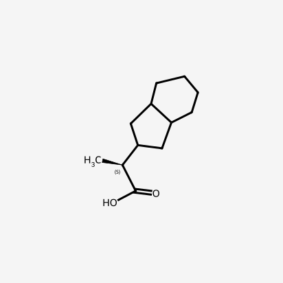 C[C@H](C(=O)O)C1CC2CCCCC2C1